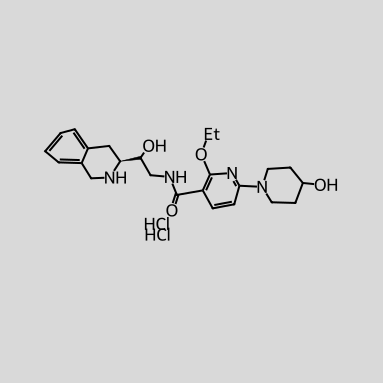 CCOc1nc(N2CCC(O)CC2)ccc1C(=O)NCC(O)[C@@H]1Cc2ccccc2CN1.Cl.Cl